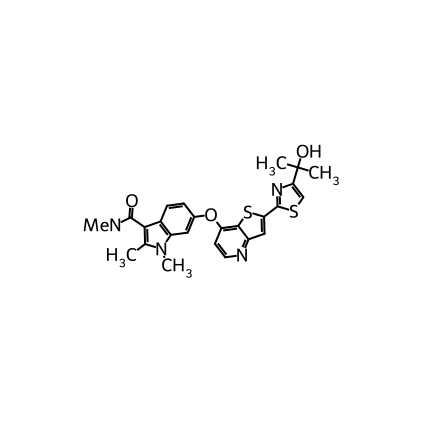 CNC(=O)c1c(C)n(C)c2cc(Oc3ccnc4cc(-c5nc(C(C)(C)O)cs5)sc34)ccc12